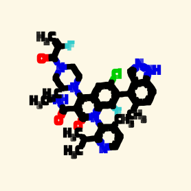 C=C(F)C(=O)N1CCN(c2c(C(=O)NC)c(=O)n(-c3c(C)ccnc3C(C)C)c3c(F)c(-c4c(C)ccc5[nH]ncc45)c(Cl)cc23)[C@@H](C)C1